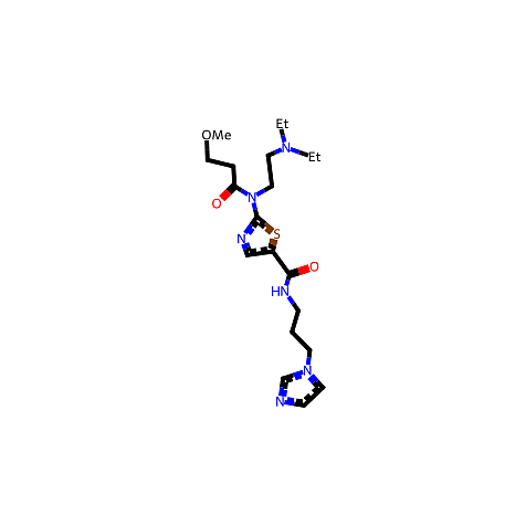 CCN(CC)CCN(C(=O)CCOC)c1ncc(C(=O)NCCCn2ccnc2)s1